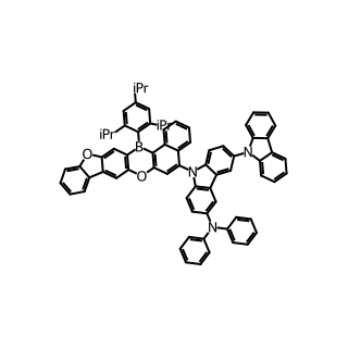 CC(C)c1cc(C(C)C)c(B2c3cc4oc5ccccc5c4cc3Oc3cc(-n4c5ccc(N(c6ccccc6)c6ccccc6)cc5c5cc(-n6c7ccccc7c7ccccc76)ccc54)c4ccccc4c32)c(C(C)C)c1